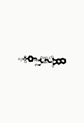 CC(C)C[C@@H](NC(CCN1C(=O)c2cc3ccccc3cc2C1=O)C(=O)O)C(=O)NCc1ccc(S(N)(=O)=O)cc1